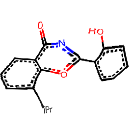 CC(C)c1cccc2c(=O)nc(-c3ccccc3O)oc12